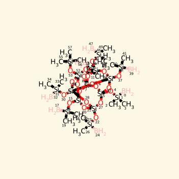 B[Si](C)(C)O[Si]12O[Si]3(O[Si](B)(C)C)O[Si]4(O[Si](B)(C)C)O[Si](O[Si](B)(C)C)(O1)O[Si]1(O[Si](B)(C)C)O[Si](O[Si](B)(C)C)(O2)O[Si](O[Si](B)(C)C)(O3)O[Si](O[Si](C)(C)C)(O4)O1